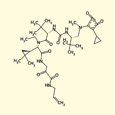 C=CCNC(=O)C(=O)CNC(=O)[C@H]([C@@H]1CC1(C)C)N(CC)C(=O)[C@@H](NC(=O)N[C@H](CN(C)c1c(C2CC2)c(=O)c1=O)C(C)(C)C)C(C)(C)C